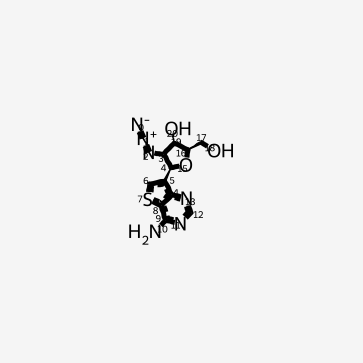 [N-]=[N+]=NC1[C@H](c2csc3c(N)ncnc23)O[C@H](CO)[C@H]1O